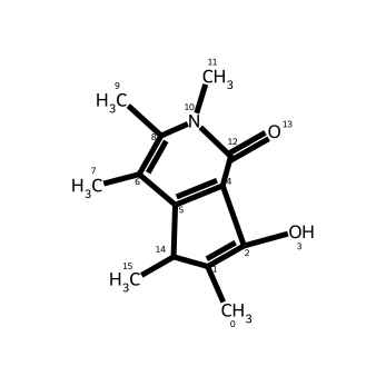 CC1=C(O)c2c(c(C)c(C)n(C)c2=O)C1C